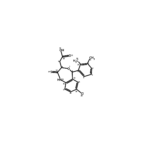 Cc1cccc(C2OC(CC(=O)O)C(=S)Nc3ccc(Cl)cc32)c1C